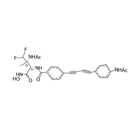 CC(=O)Nc1ccc(C#CC#Cc2ccc(C(=O)N[C@H](C(=O)NO)[C@](C)(NC(C)=O)C(F)F)cc2)cc1